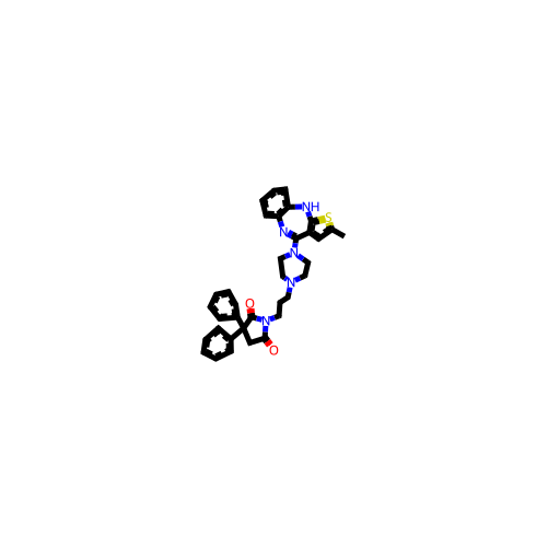 Cc1cc2c(s1)Nc1ccccc1N=C2N1CCN(CCCN2C(=O)CC(c3ccccc3)(c3ccccc3)C2=O)CC1